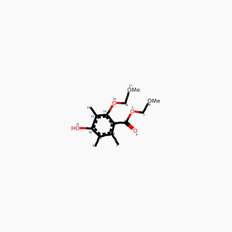 COCOC(=O)c1c(C)c(C)c(O)c(C)c1OCOC